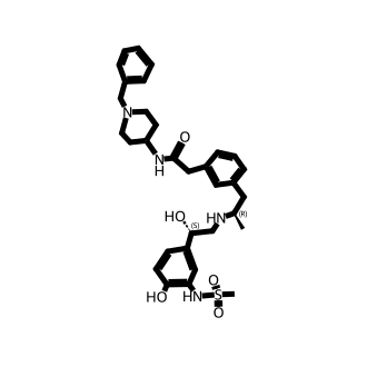 C[C@H](Cc1cccc(CC(=O)NC2CCN(Cc3ccccc3)CC2)c1)NC[C@@H](O)c1ccc(O)c(NS(C)(=O)=O)c1